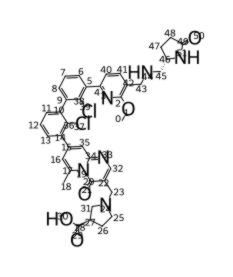 COc1nc(-c2cccc(-c3cccc(-c4cc(C)n5c(=O)c(CN6CC[C@@H](C(=O)O)C6)cnc5c4)c3Cl)c2Cl)ccc1CNC[C@@H]1CCC(=O)N1